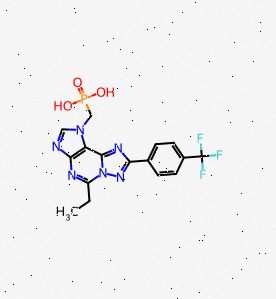 CCc1nc2ncn(CP(=O)(O)O)c2c2nc(-c3ccc(C(F)(F)F)cc3)nn12